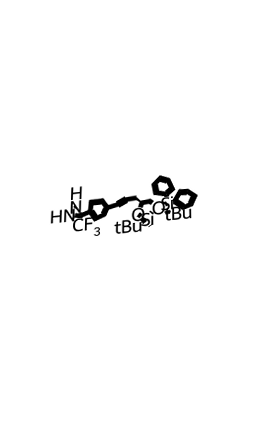 CC(C)(C)[Si](C)(C)O[C@@H](CC#Cc1ccc(C2(C(F)(F)F)NN2)cc1)CO[Si](c1ccccc1)(c1ccccc1)C(C)(C)C